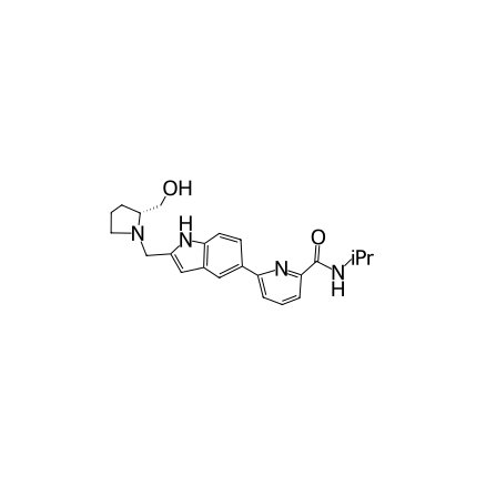 CC(C)NC(=O)c1cccc(-c2ccc3[nH]c(CN4CCC[C@@H]4CO)cc3c2)n1